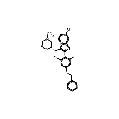 O=C(O)N1CCO[C@@H](Cc2c(-c3c(F)cc(SCc4ccccc4)cc3Cl)nc3cc(Cl)ccn23)C1